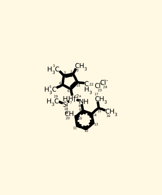 CC1=C(C)C(C)[C]([Hf+2]([NH]c2ccccc2C(C)C)[SiH](C)C)=C1C.[Cl-].[Cl-]